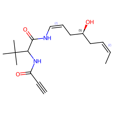 C#CC(=O)NC(C(=O)N/C=C\C[C@@H](O)C/C=C\C)C(C)(C)C